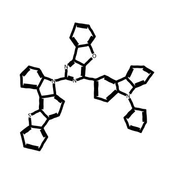 c1ccc(-n2c3ccccc3c3cc(-c4nc(-n5c6ccccc6c6c7sc8ccccc8c7ccc65)nc5c4oc4ccccc45)ccc32)cc1